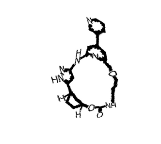 O=C1NCCCOCc2cc(-c3cccnc3)cc(n2)Nc2cc([nH]n2)[C@H]2CC[C@H](C2)O1